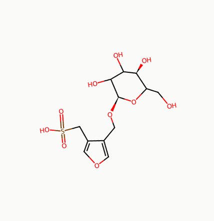 O=S(=O)(O)Cc1cocc1CO[C@@H]1OC(CO)[C@H](O)C(O)C1O